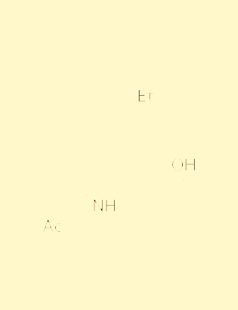 [CH2]CC(O)CNC(C)=O